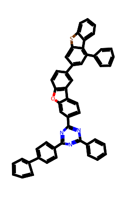 c1ccc(-c2ccc(-c3nc(-c4ccccc4)nc(-c4ccc5c(c4)oc4ccc(-c6cc(-c7ccccc7)c7c(c6)sc6ccccc67)cc45)n3)cc2)cc1